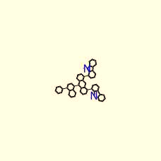 Cn1c2ccccc2c2cccc(-c3cccc4c(-c5ccc(-c6ccccc6)c6ccccc56)c5cccc(-c6cccc7c8ccccc8n(C)c67)c5cc34)c21